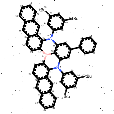 CC(C)(C)c1cc(N2c3cc(-c4ccccc4)cc4c3B(c3ccc5cc6ccccc6cc5c32)c2ccc3cc5ccccc5cc3c2N4c2cc(C(C)(C)C)cc(C(C)(C)C)c2)cc(C(C)(C)C)c1